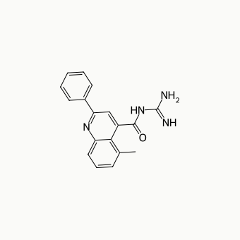 Cc1cccc2nc(-c3ccccc3)cc(C(=O)NC(=N)N)c12